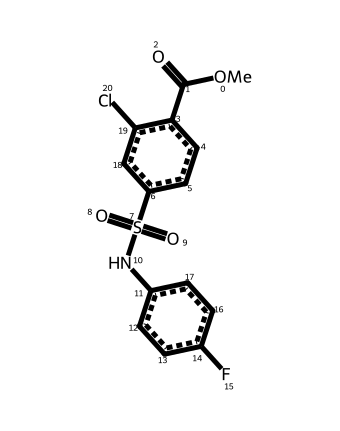 COC(=O)c1ccc(S(=O)(=O)Nc2ccc(F)cc2)cc1Cl